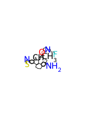 C=C/C(=C\C=C(/C)O[C@H]1CCN(CCCF)C1)C1=C(c2ccc3ncsc3c2)CCCc2cc(N)ccc21